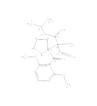 COc1cccc(OC)c1C(=O)C1(C(C)(P=O)C(=O)OC(C)C)CCCC1